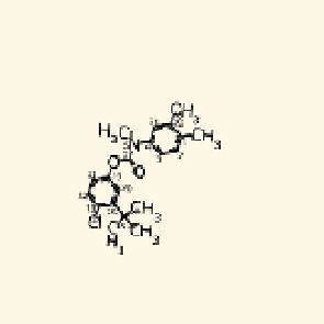 Cc1ccc(N(C)C(=O)Oc2ccc(Cl)c(C(C)(C)C)c2)cc1C